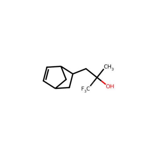 CC(O)(CC1CC2C=CC1C2)C(F)(F)F